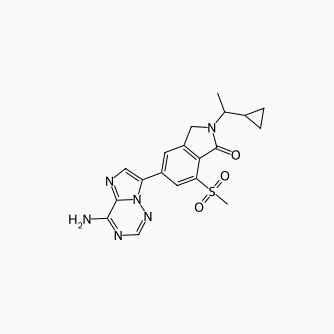 CC(C1CC1)N1Cc2cc(-c3cnc4c(N)ncnn34)cc(S(C)(=O)=O)c2C1=O